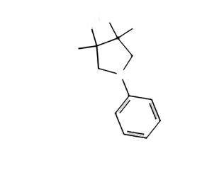 CC1(C)CB(c2ccccc2)CC1(C)C